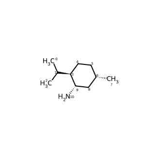 CC(C)[C@H]1CC[C@H](C)C[C@@H]1N